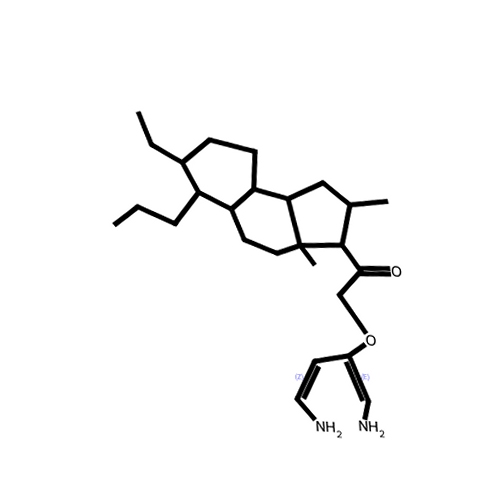 CCCC1C(CC)CCC2C1CCC1(C)C2CC(C)C1C(=O)COC(/C=C\N)=C/N